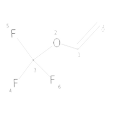 [CH]=COC(F)(F)F